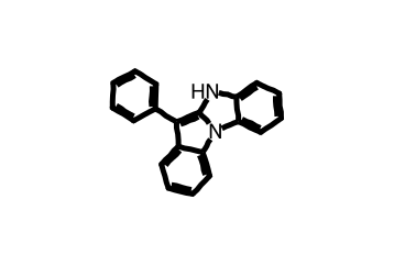 c1ccc(-c2c3ccccc3n3c2[nH]c2ccccc23)cc1